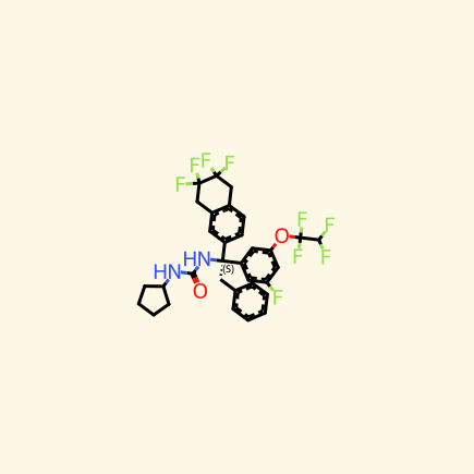 O=C(NC1CCCC1)N[C@](Cc1ccccc1)(c1cc(F)cc(OC(F)(F)C(F)F)c1)c1ccc2c(c1)CC(F)(F)C(F)(F)C2